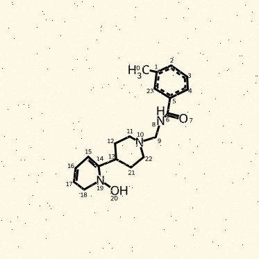 Cc1cccc(C(=O)NCN2CCC(C3=CC=CCN3O)CC2)c1